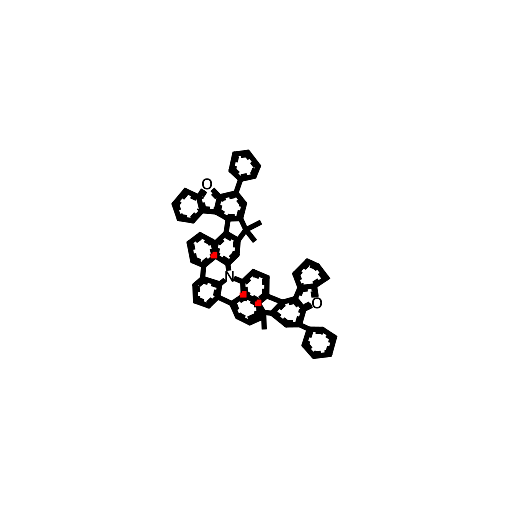 CC1(C)c2cc(N(c3ccc4c(c3)C(C)(C)c3cc(-c5ccccc5)c5oc6ccccc6c5c3-4)c3c(-c4ccccc4)cccc3-c3ccccc3)ccc2-c2c1cc(-c1ccccc1)c1oc3ccccc3c21